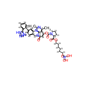 Cc1nc(C)c2c(OC(=O)N3CCCC3C(=O)OCCCCCCON(O)O)cc(=O)n(Cc3ccc(-c4ccccc4-c4nnn[nH]4)cc3)c2n1